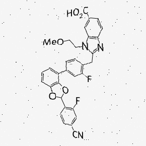 COCCn1c(Cc2ccc(-c3cccc4c3OC(c3ccc(C#N)cc3F)O4)cc2F)nc2ccc(C(=O)O)cc21